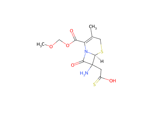 COCOC(=O)C1=C(C)CS[C@@H]2N1C(=O)C2(N)CC(O)=S